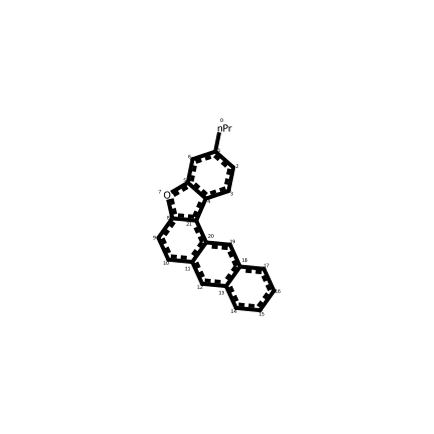 CCCc1ccc2c(c1)oc1ccc3cc4ccccc4cc3c12